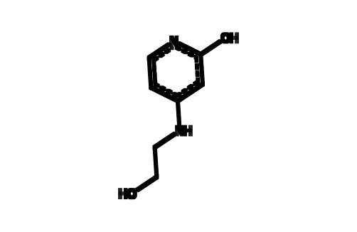 OCCNc1ccnc(O)c1